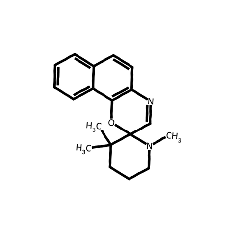 CN1CCCC(C)(C)C12C=Nc1ccc3ccccc3c1O2